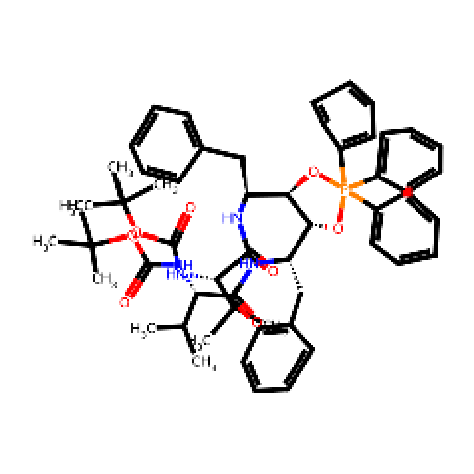 CC(C)[C@H](NC(=O)OC(C)(C)C)C(=O)N[C@@H](Cc1ccccc1)[C@H]1OP(c2ccccc2)(c2ccccc2)(c2ccccc2)O[C@@H]1[C@H](Cc1ccccc1)NC(=O)[C@@H](NC(=O)OC(C)(C)C)C(C)C